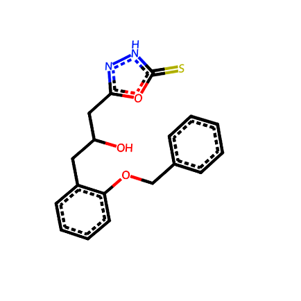 OC(Cc1n[nH]c(=S)o1)Cc1ccccc1OCc1ccccc1